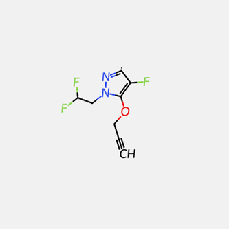 C#CCOc1c(F)[c]nn1CC(F)F